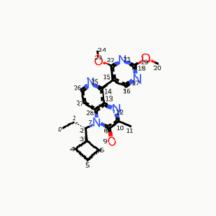 CC[C@@H](C1CCC1)n1c(=O)c(C)nc2c(-c3cnc(OC)nc3OC)nccc21